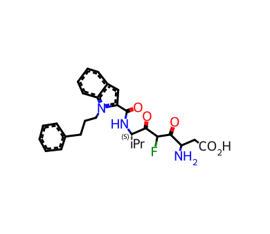 CC(C)[C@H](NC(=O)c1cc2ccccc2n1CCCc1ccccc1)C(=O)C(F)C(=O)C(N)CC(=O)O